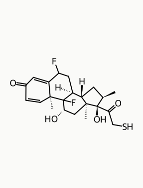 C[C@@H]1C[C@H]2[C@@H]3CC(F)C4=CC(=O)C=C[C@]4(C)C3(F)[C@@H](O)C[C@]2(C)[C@@]1(O)C(=O)CS